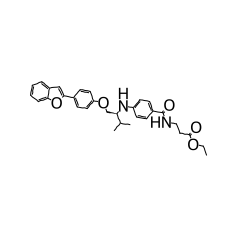 CCOC(=O)CCNC(=O)c1ccc(N[C@H](COc2ccc(-c3cc4ccccc4o3)cc2)C(C)C)cc1